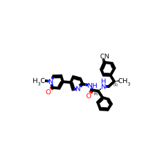 C[C@H](CN[C@@H](C(=O)Nc1ccc(-c2ccn(C)c(=O)c2)cn1)c1ccccc1)c1ccc(C#N)cc1